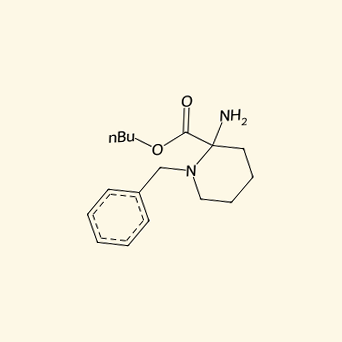 CCCCOC(=O)C1(N)CCCCN1Cc1ccccc1